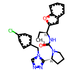 CC[C@H](NC(=O)N1CCC[C@@H]1c1nncn1Cc1ccc(Cl)cc1)c1cc2ccccc2o1